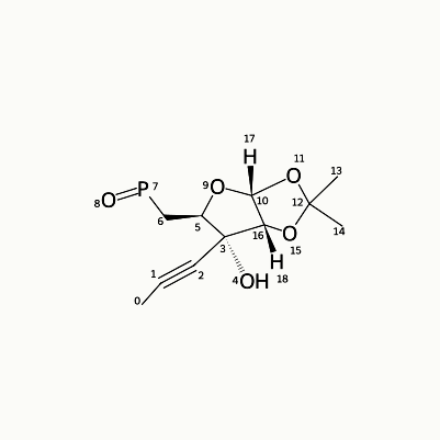 CC#C[C@@]1(O)[C@@H](CP=O)O[C@@H]2OC(C)(C)O[C@@H]21